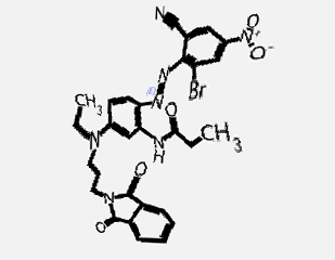 CCC(=O)Nc1cc(N(CC)CCCN2C(=O)c3ccccc3C2=O)ccc1/N=N/c1c(Br)cc([N+](=O)[O-])cc1C#N